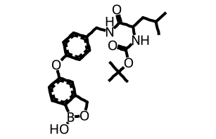 CC(C)CC(NC(=O)OC(C)(C)C)C(=O)NCc1ccc(Oc2ccc3c(c2)COB3O)cc1